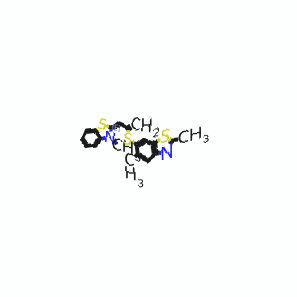 C=C(/C=C1/Sc2ccccc2N1C)Sc1cc2sc(C)nc2cc1C